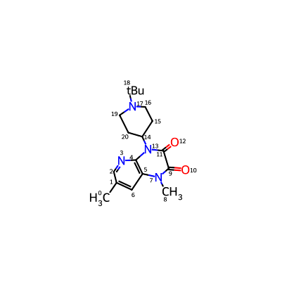 Cc1cnc2c(c1)n(C)c(=O)c(=O)n2C1CCN(C(C)(C)C)CC1